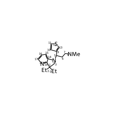 CCC1(CC)CN(C(CCNC)c2ccsc2)c2cccnc21